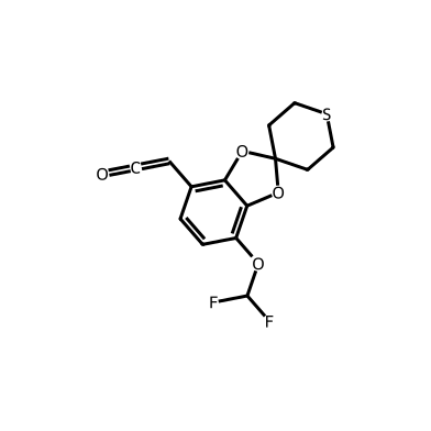 O=C=Cc1ccc(OC(F)F)c2c1OC1(CCSCC1)O2